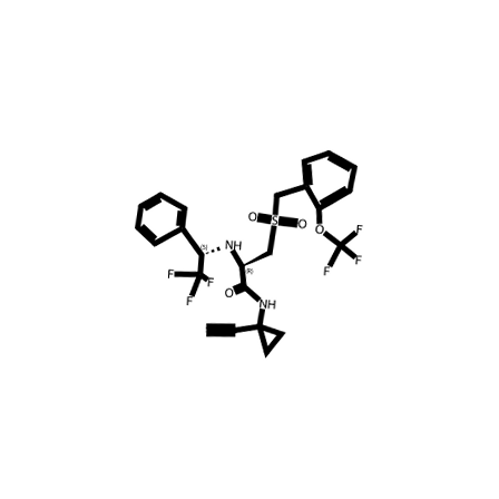 C#CC1(NC(=O)[C@H](CS(=O)(=O)Cc2ccccc2OC(F)(F)F)N[C@@H](c2ccccc2)C(F)(F)F)CC1